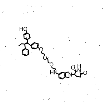 CCC(=C(c1ccc(O)cc1)c1ccc(OCCOCCOCCNc2ccc3c(c2)CN(C2CCC(=O)NC2=O)C3)cc1)c1ccccc1